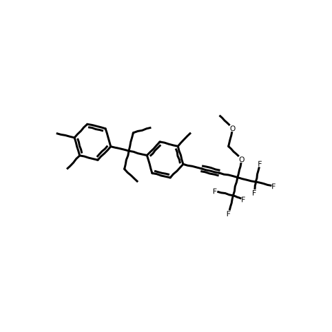 CCC(CC)(c1ccc(C)c(C)c1)c1ccc(C#CC(OCOC)(C(F)(F)F)C(F)(F)F)c(C)c1